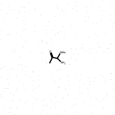 CNC(N)C(C)=O